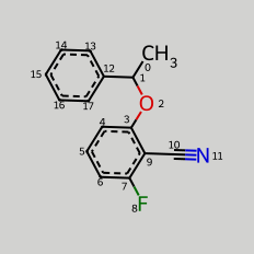 CC(Oc1cccc(F)c1C#N)c1ccccc1